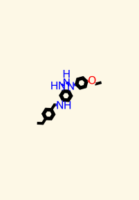 CCOc1ccc(N2NNc3cc(NCc4ccc(CC)cc4)ccc32)cc1